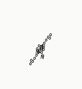 c1ccc(-c2nc(-c3ccc(-c4ccc(-c5ccc6c7c(cccc57)-c5ccccc5-6)cc4)cc3)cc(-c3cccc(-c4cccc(-c5nc(-c6ccc(-c7ccc(-c8ccc9c%10c(cccc8%10)-c8ccccc8-9)cc7)cc6)cc(-c6cccc(-c7cccnc7)c6)n5)c4)c3-c3cccnc3)n2)cc1